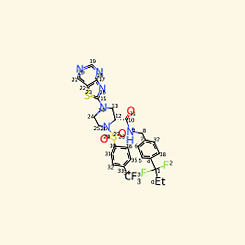 CCC(F)(F)c1ccc(CNC(=O)[C@H]2CN(c3nc4ncncc4s3)CCN2S(=O)(=O)c2ccc(C(F)(F)F)cc2)cc1